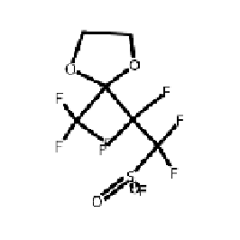 O=S(=O)(F)C(F)(F)C(F)(F)C1(C(F)(F)F)OCCO1